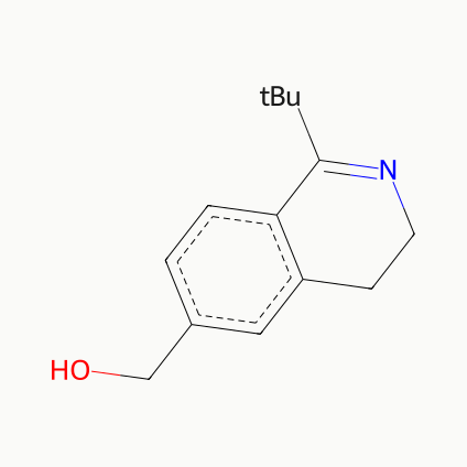 CC(C)(C)C1=NCCc2cc(CO)ccc21